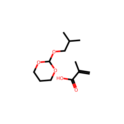 C=C(C)C(=O)O.CC(C)COC1OCCCO1